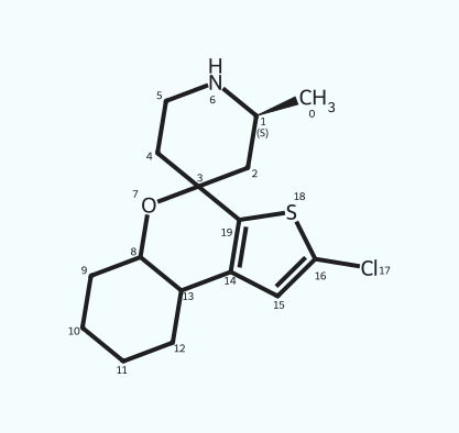 C[C@H]1CC2(CCN1)OC1CCCCC1c1cc(Cl)sc12